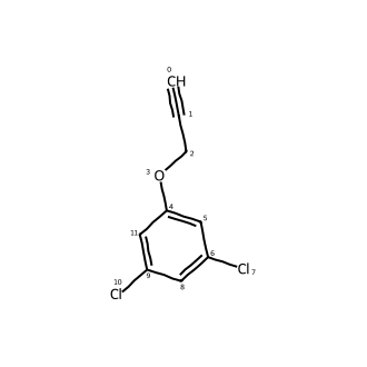 C#CCOc1cc(Cl)cc(Cl)c1